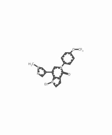 CCn1ccc2c(=O)n(-c3ccc(OC(F)(F)F)cc3)cc(-c3cnn(C)c3)c21